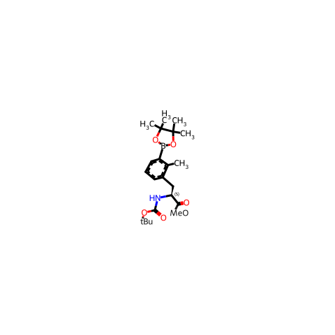 COC(=O)[C@H](Cc1cccc(B2OC(C)(C)C(C)(C)O2)c1C)NC(=O)OC(C)(C)C